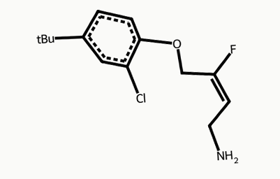 CC(C)(C)c1ccc(OC/C(F)=C\CN)c(Cl)c1